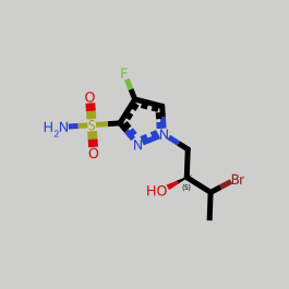 CC(Br)[C@@H](O)Cn1cc(F)c(S(N)(=O)=O)n1